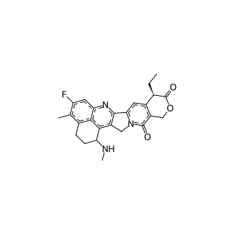 CC[C@H]1C(=O)OCc2c1cc1n(c2=O)Cc2c-1nc1cc(F)c(C)c3c1c2C(NC)CC3